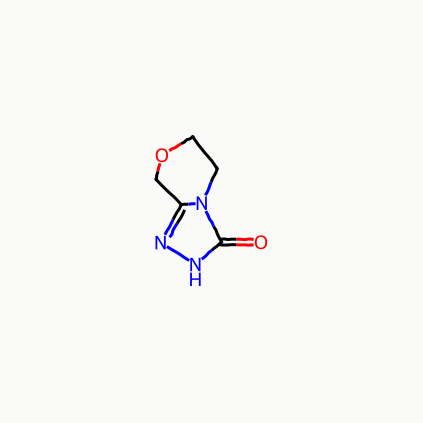 O=c1[nH]nc2n1CCOC2